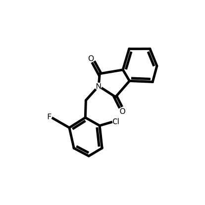 O=C1c2ccccc2C(=O)N1Cc1c(F)cccc1Cl